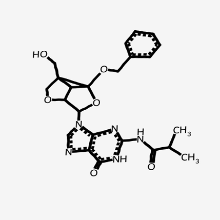 CC(C)C(=O)Nc1nc2c(ncn2C2OC3(OCc4ccccc4)C4C2OCC43CO)c(=O)[nH]1